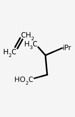 C=C.CC(C)C(C)CC(=O)O